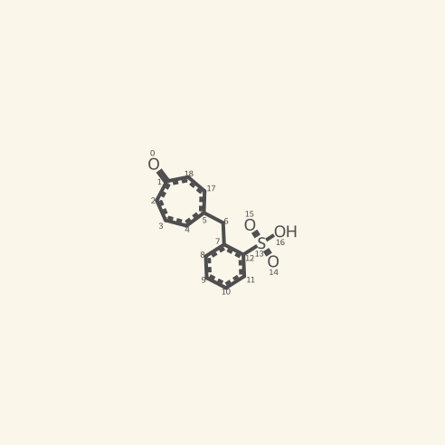 O=c1cccc(Cc2ccccc2S(=O)(=O)O)cc1